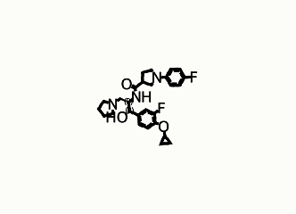 O=C(N[C@H](CN1CCCC1)[C@H](O)c1ccc(OC2CC2)c(F)c1)C1CCN(c2ccc(F)cc2)C1